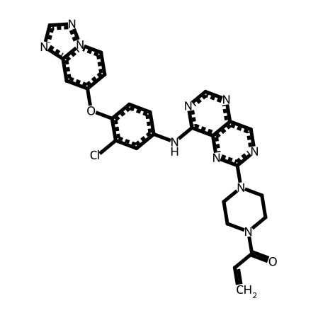 C=CC(=O)N1CCN(c2ncc3ncnc(Nc4ccc(Oc5ccn6ncnc6c5)c(Cl)c4)c3n2)CC1